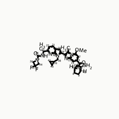 COc1cc(C(=O)N2[C@H]3CC[C@@H]2[C@H](N)C3)cc2nc(-c3cc4ccc([C@@H](C)NC(=O)N5CC(F)(F)C5)nc4n3CC3CC3)c(C)n12